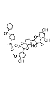 COc1cc([C@@H]2Oc3cc(C4Oc5cc(O)cc(O)c5C(=O)[C@H]4O)ccc3O[C@H]2COC(=O)[C@H](C)c2cccc(C(=O)c3ccccc3)c2)ccc1O